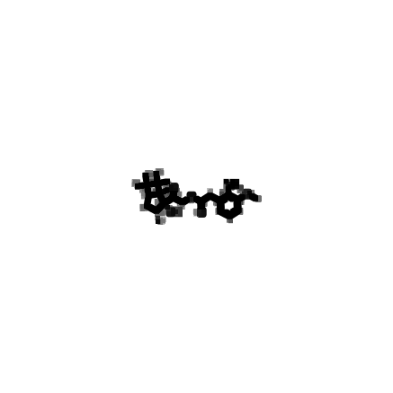 COc1cccc(CC(=O)OCC(=O)[C@@]2(O)[C@H](C)CC3C(C)(C)C(C)(C)[C@@]32C)c1N